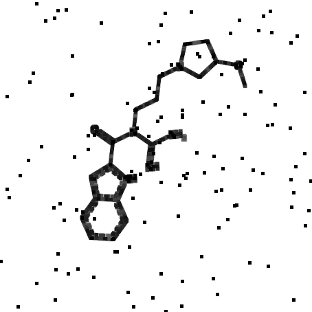 COC1CCN(CCCN(C(=N)N)C(=O)c2cc3ccccc3[nH]2)C1